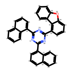 c1ccc2c(-c3nc(-c4cccc5ccccc45)nc(-c4cccc5oc6ccccc6c45)n3)cccc2c1